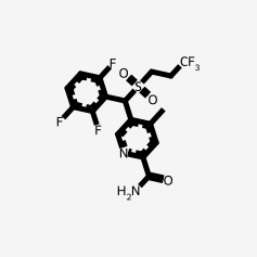 Cc1cc(C(N)=O)ncc1C(c1c(F)ccc(F)c1F)S(=O)(=O)CCC(F)(F)F